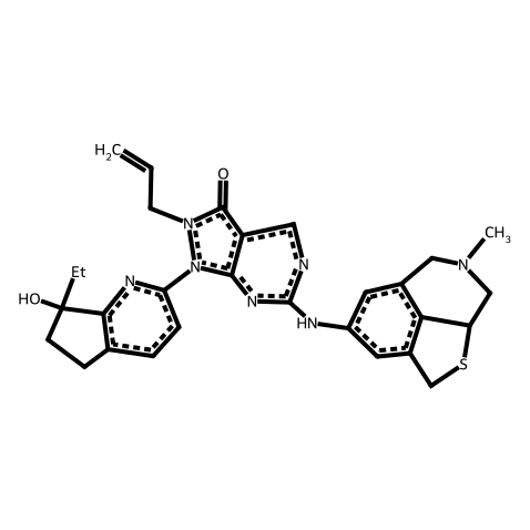 C=CCn1c(=O)c2cnc(Nc3cc4c5c(c3)CN(C)CC5SC4)nc2n1-c1ccc2c(n1)C(O)(CC)CC2